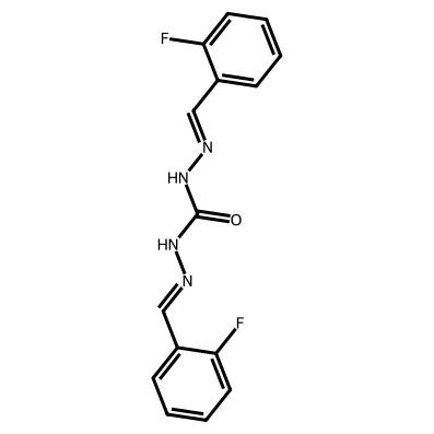 O=C(NN=Cc1ccccc1F)NN=Cc1ccccc1F